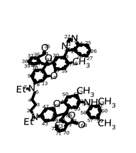 CCN(CCCCN(CC)c1ccc2c(c1)Oc1cc(C)c(-c3ncnc4ccccc34)cc1C21OC(=O)c2ccccc21)c1ccc2c(c1)Oc1cc(C)c(Nc3ccc(C)cc3C)cc1C21OC(=O)c2ccccc21